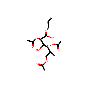 BCCO[C@@H](O)C(OC(C)=O)C(O)[C@H](OC(C)=O)C(C)COC(C)=O